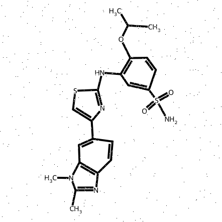 Cc1nc2ccc(-c3csc(Nc4cc(S(N)(=O)=O)ccc4OC(C)C)n3)cc2n1C